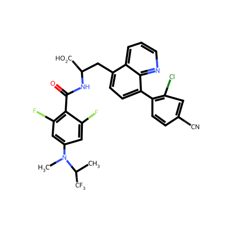 CC(N(C)c1cc(F)c(C(=O)NC(Cc2ccc(-c3ccc(C#N)cc3Cl)c3ncccc23)C(=O)O)c(F)c1)C(F)(F)F